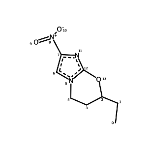 CCC1CCn2cc([N+](=O)[O-])nc2O1